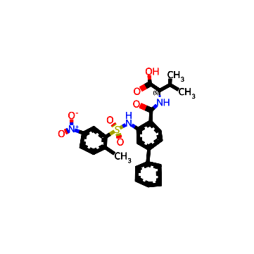 Cc1ccc([N+](=O)[O-])cc1S(=O)(=O)Nc1cc(-c2ccccc2)ccc1C(=O)N[C@H](C(=O)O)C(C)C